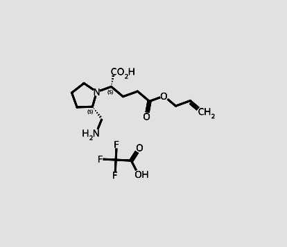 C=CCOC(=O)CC[C@@H](C(=O)O)N1CCC[C@H]1CN.O=C(O)C(F)(F)F